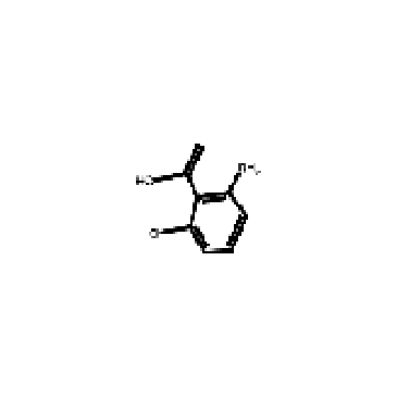 C=C(O)c1c(N)cccc1Cl